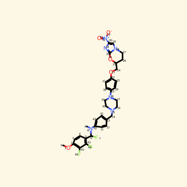 COc1ccc(C(F)N(C)c2ccc(CN3CCN(c4ccc(OCC5CCn6cc([N+](=O)[O-])nc6O5)cc4)CC3)cc2)c(F)c1F